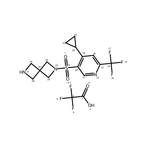 O=C(O)C(F)(F)F.O=S(=O)(c1cnc(C(F)(F)F)cc1C1CC1)N1CC2(CNC2)C1